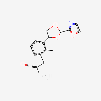 Cc1c(CC(=C=O)C(=O)O)cccc1C1COC(c2ncco2)O1